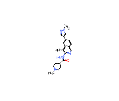 [2H]c1c(NC(=O)C2CCN(C)CC2)ncc2ccc(-c3cnn(C)c3)cc12